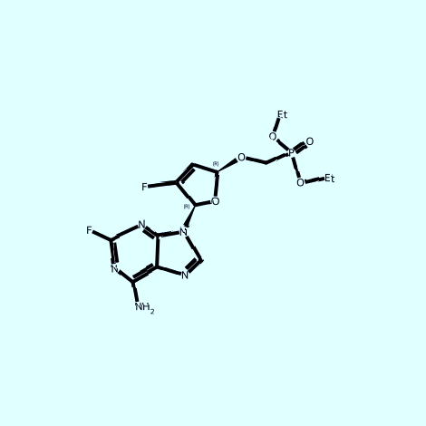 CCOP(=O)(CO[C@@H]1C=C(F)[C@H](n2cnc3c(N)nc(F)nc32)O1)OCC